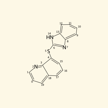 c1cnc2c(Sc3nc4ccccc4[nH]3)cccc2c1